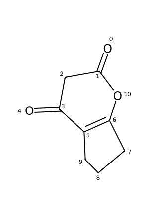 O=C1CC(=O)C2=C(CCC2)O1